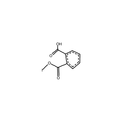 O=C(O)c1ccccc1C(=O)OI